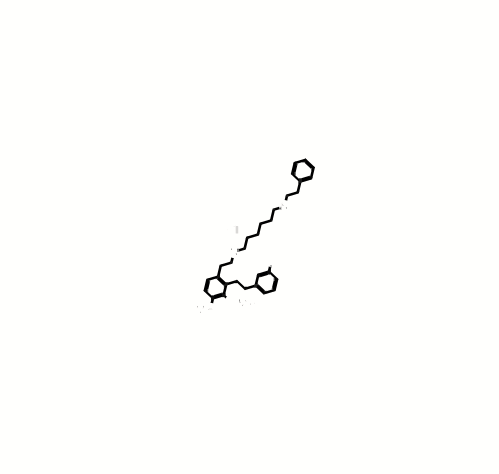 COc1ccc(CCNCCCCCCNCCc2ccccc2)c(CCc2cccc(C)c2)c1OC.Cl.Cl